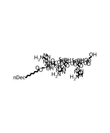 CCCCCCCCCCCCCCCCCC(=O)OCCSP(=O)(O)OC1C(O)[C@@H](COP(O)(=S)OC2C(O)[C@@H](COP(O)(=S)OC3C(O)[C@@H](COP(=O)(O)OCCO)O[C@H]3n3cnc4c(N)ncnc43)O[C@H]2n2cnc3c(N)ncnc32)O[C@H]1n1cnc2c(N)ncnc21